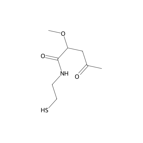 COC(CC(C)=O)C(=O)NCCS